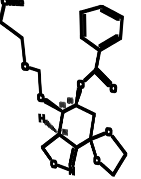 COCCOCO[C@H]1[C@@H](OC(=O)c2ccccc2)CC2(OCCO2)C2=NOC[C@H]21